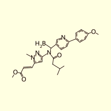 BC(c1ccc(-c2ccc(OC)cc2)nc1)N(C(=O)CC(C)C)c1cc(/C=C/C(=O)OC)n(C)n1